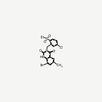 CCS(=O)(=O)c1ccc(Cl)cc1Cn1c(=O)[nH]c2c(Br)cc(C)cc2c1=O